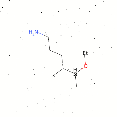 CCO[SiH](C)C(C)CCCN